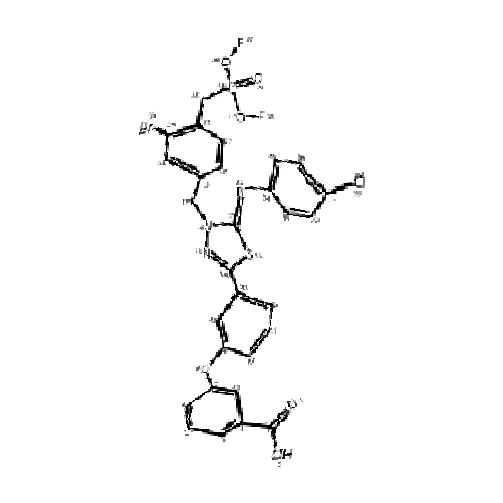 O=C(O)c1cccc(Oc2cccc(-c3nn(Cc4ccc(CP(=O)(OF)OF)c(Br)c4)c(=Nc4ccc(Cl)cc4)s3)c2)c1